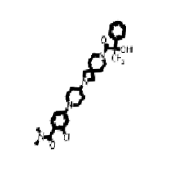 CN(C)C(=O)c1ccc(N2CCC(N3CC4(CCN(C(=O)[C@](O)(c5ccccc5)C(F)(F)F)CC4)C3)CC2)cc1Cl